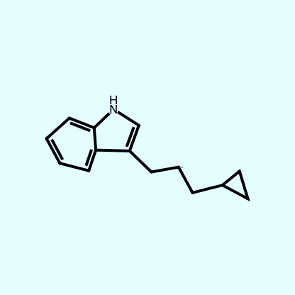 [CH](Cc1c[nH]c2ccccc12)CC1CC1